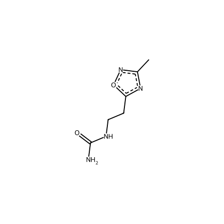 Cc1noc(CCNC(N)=O)n1